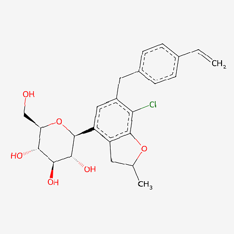 C=Cc1ccc(Cc2cc([C@@H]3O[C@H](CO)[C@@H](O)[C@H](O)[C@H]3O)c3c(c2Cl)OC(C)C3)cc1